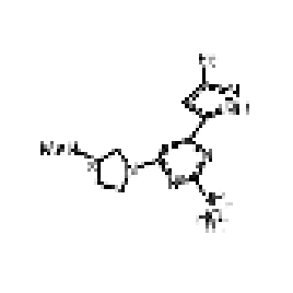 CCc1cc(-c2cc(N3CC[C@@H](NC)C3)nc(N)n2)[nH]n1.Cl.Cl